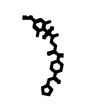 COc1cc(C)c(S(=O)(=O)N(C)CCC(=O)NC2CCN(C(=O)CN3CCCC3)CC2)c(C)c1